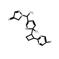 CC(C1=CNC(C2CCC2c2ncc(F)cn2)(C(F)(F)F)C=C1)N1CC(=O)C=N1